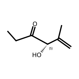 C=C(C)[C@H](O)C(=O)CC